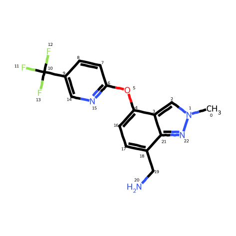 Cn1cc2c(Oc3ccc(C(F)(F)F)cn3)ccc(CN)c2n1